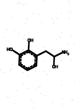 NC(O)Cc1cccc(O)c1O